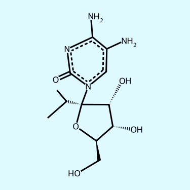 CC(C)[C@@]1(n2cc(N)c(N)nc2=O)O[C@H](CO)[C@@H](O)[C@H]1O